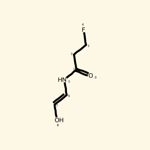 O=C(CCF)NC=CO